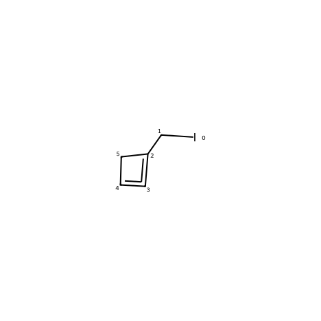 ICC1=C=CC1